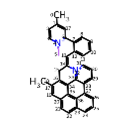 Cc1cc[n+](I)c(-c2ccccc2/C=C2/Cc3c(C)cc4ccc5cccc6c7ccc[n+]2c7c3c4c56)c1